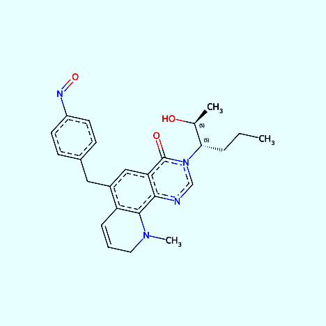 CCC[C@@H]([C@H](C)O)n1cnc2c3c(c(Cc4ccc(N=O)cc4)cc2c1=O)C=CCN3C